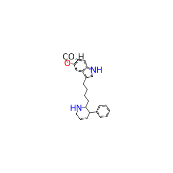 O=C(O)Oc1ccc2[nH]cc(CCCCC3NCC=CC3c3ccccc3)c2c1